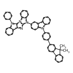 CC1(C)c2ccccc2-c2ccc(-c3ccc(-n4c5ccccc5c5cc(-n6c7ccccc7n7c6nc6c8ccccc8n(-c8ccccc8)c67)ccc54)cc3)cc21